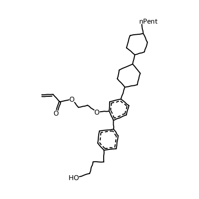 C=CC(=O)OCCOc1cc(C2CCC(C3CCC(CCCCC)CC3)CC2)ccc1-c1ccc(CCCO)cc1